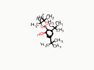 CC(C)(C)c1cc(O)c(B2OC(C)(C)C(C)(C)O2)c(C(C)(C)C)c1